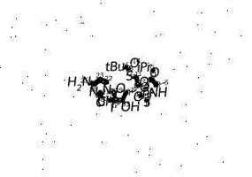 CC(C)OC(=O)[C@H](C)N[P@@](=S)(OCCSC(=O)C(C)(C)C)OC[C@H]1O[C@@H](n2ccc(N)nc2=O)[C@@](F)(Cl)[C@@H]1O